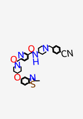 Cc1nc2cc(OC3CCN(C(=O)c4ccc(C(=O)NC5CCN(Cc6ccc(C#N)cc6)CC5)cn4)CC3)ccc2s1